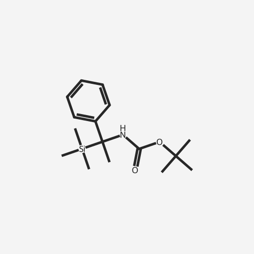 CC(C)(C)OC(=O)NC(C)(c1ccccc1)[Si](C)(C)C